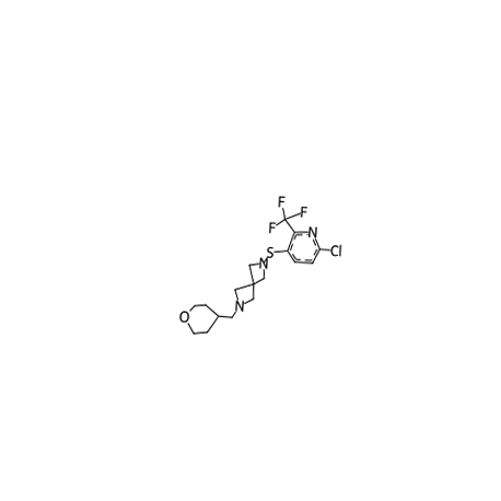 FC(F)(F)c1nc(Cl)ccc1SN1CC2(CN(CC3CCOCC3)C2)C1